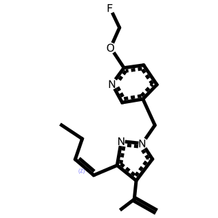 C=C(C)c1cn(Cc2ccc(OCF)nc2)nc1/C=C\CC